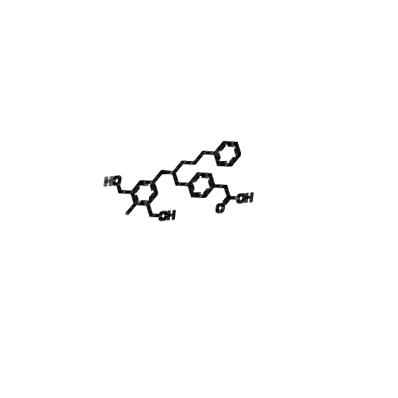 Cc1c(CO)cc(C[C@@H](CCCc2ccccc2)Cc2ccc(CC(=O)O)cc2)cc1CO